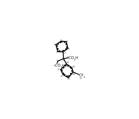 O=C(O)CC(C(=O)O)(c1ccccc1)c1cccc(C(F)(F)F)c1